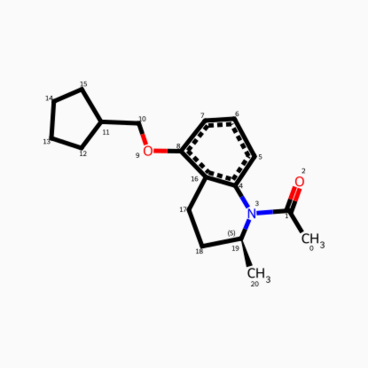 CC(=O)N1c2cccc(OCC3CCCC3)c2CC[C@@H]1C